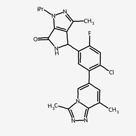 Cc1nn(C(C)C)c2c1C(c1cc(-c3cc(C)c4nnc(C)n4c3)c(Cl)cc1F)NC2=O